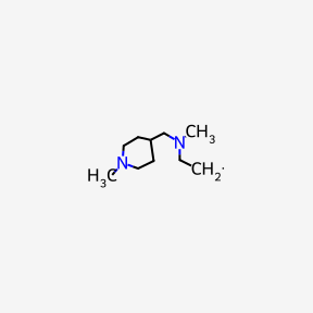 [CH2]CN(C)CC1CCN(C)CC1